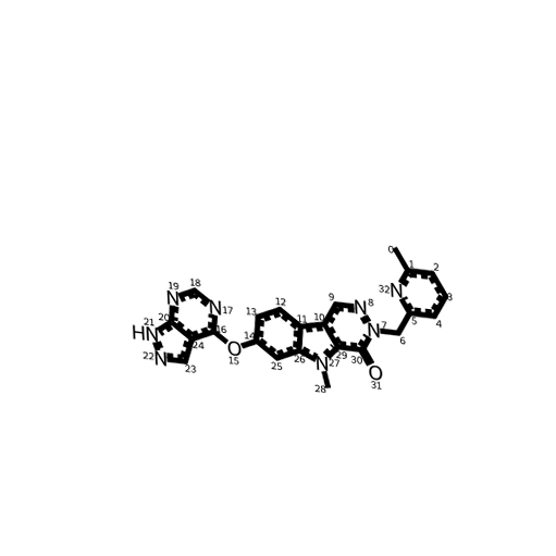 Cc1cccc(Cn2ncc3c4ccc(Oc5ncnc6[nH]ncc56)cc4n(C)c3c2=O)n1